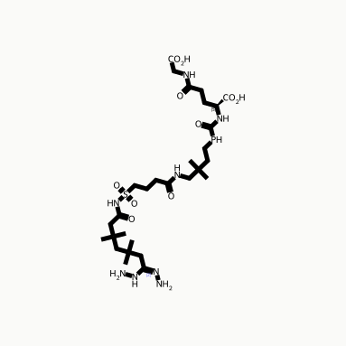 CC(C)(CCPC(=O)N[C@@H](CCC(=O)NCC(=O)O)C(=O)O)CNC(=O)CCCS(=O)(=O)NC(=O)CC(C)(C)CC(C)(C)C/C(=N/N)NN